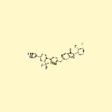 Fc1cccc(-c2nc3c([nH]2)C=NN(Cc2ccc(-c4ccc(-c5cn[nH]c5)cc4C(F)(F)F)nn2)C3)c1F